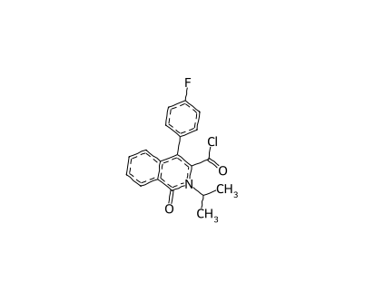 CC(C)n1c(C(=O)Cl)c(-c2ccc(F)cc2)c2ccccc2c1=O